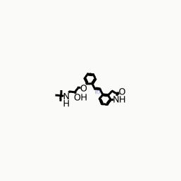 CC(C)(C)NCC(O)COc1ccccc1/C=C/c1cccc2c1CC(=O)N2